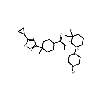 CC(C)N1CCN([C@@H]2CCCC(F)(F)[C@H]2NC(=O)N2CCC(C)(c3noc(C4CC4)n3)CC2)CC1